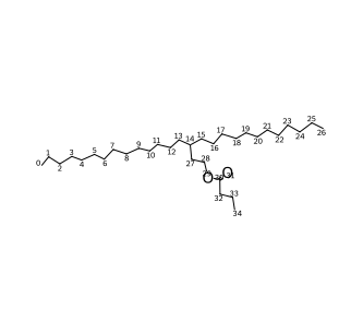 CCCCCCCCCCCCCCC(CCCCCCCCCCCC)CCOC(=O)CCC